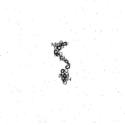 N#Cc1c(NS(=O)(=O)N2CC[C@@H](F)C2)ccc(F)c1Oc1ccc2ncn(-c3cnc(N4CCC(CN5CCC(Oc6cccc7c6C(=O)N(C6CCC(=O)NC6=O)C7=O)CC5)CC4)nc3)c(=O)c2c1